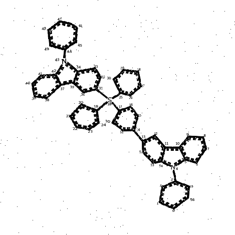 c1ccc(-n2c3ccccc3c3cc(-c4ccc(S(c5ccccc5)(c5ccccc5)c5ccc6c(c5)c5ccccc5n6-c5ccccc5)cc4)ccc32)cc1